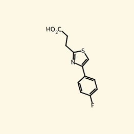 O=C(O)CCc1nc(-c2ccc(F)cc2)cs1